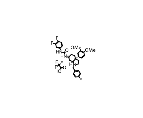 COc1ccc([C@@]23CC[C@@H](NC(=O)Nc4ccc(F)c(F)c4)C[C@@H]2N(Cc2ccc(F)cc2)CC3)cc1OC.O=C(O)C(F)(F)F